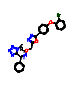 Cn1nnnc1/C(=N\OCc1nnc(-c2ccc(Oc3ccccc3Br)cc2)o1)c1ccccc1